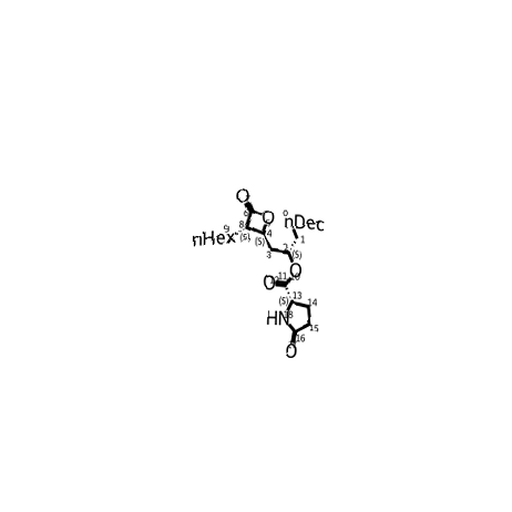 CCCCCCCCCCC[C@@H](C[C@@H]1OC(=O)[C@H]1CCCCCC)OC(=O)[C@@H]1CCC(=O)N1